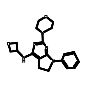 c1ccc(N2CCc3c(NC4COC4)nc(N4CCOCC4)nc32)cc1